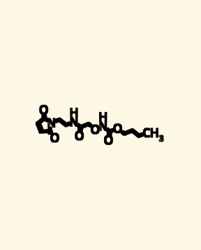 CCCCOC(=O)NOCC(=O)NCCN1C(=O)C=CC1=O